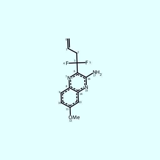 C=CCC(F)(F)c1nc2ccc(OC)cc2nc1N